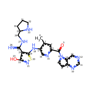 Cc1cc(C(=O)n2ccc3ncncc32)ncc1Nc1snc(O)c1C(=N)NCC1CCCN1